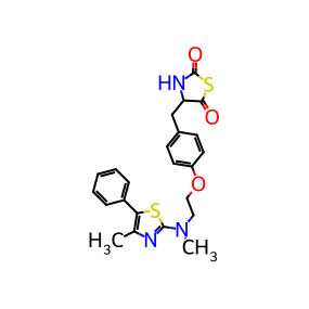 Cc1nc(N(C)CCOc2ccc(CC3NC(=O)SC3=O)cc2)sc1-c1ccccc1